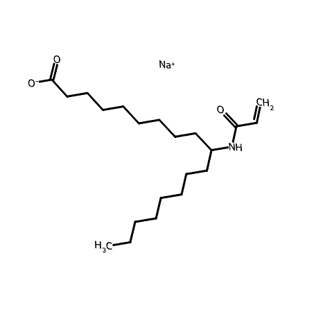 C=CC(=O)NC(CCCCCCCC)CCCCCCCCC(=O)[O-].[Na+]